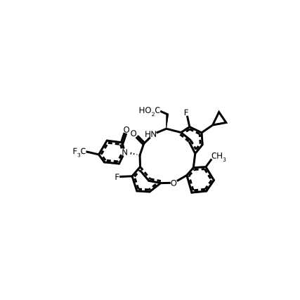 Cc1cccc2c1-c1cc(C3CC3)c(F)c(c1)[C@H](CC(=O)O)NC(=O)[C@@H](n1ccc(C(F)(F)F)cc1=O)c1cc(ccc1F)O2